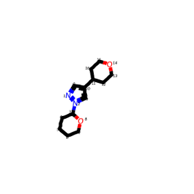 c1nn(C2CCCCO2)cc1C1CCOCC1